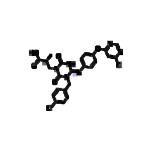 C[C@@H](Cn1c(=O)[nH]/c(=N\c2ccc(Oc3cc(Cl)ncn3)cc2)n(Cc2ccc(Cl)cc2)c1=O)C(=O)O